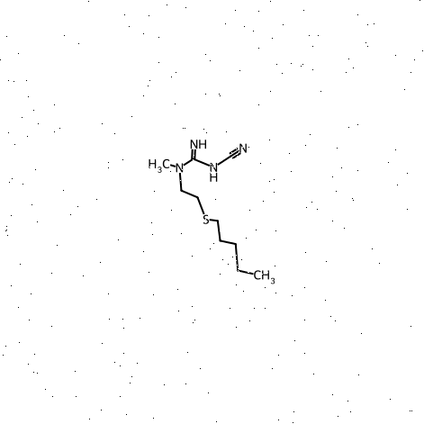 CCCCCSCCN(C)C(=N)NC#N